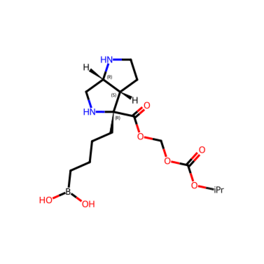 CC(C)OC(=O)OCOC(=O)[C@]1(CCCCB(O)O)NC[C@@H]2NCC[C@@H]21